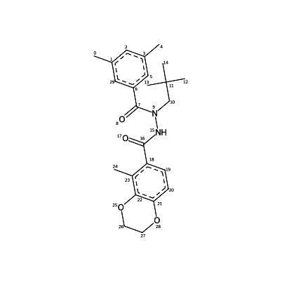 Cc1cc(C)cc(C(=O)N(CC(C)(C)C)NC(=O)c2ccc3c(c2C)OCCO3)c1